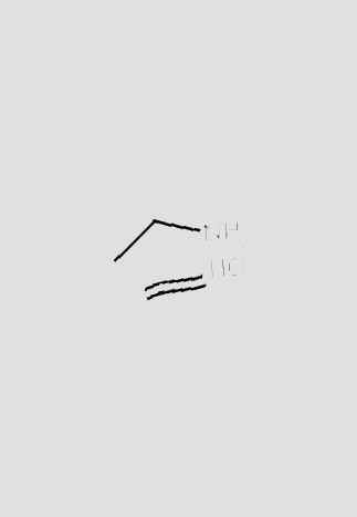 C=C.CCN.Cl